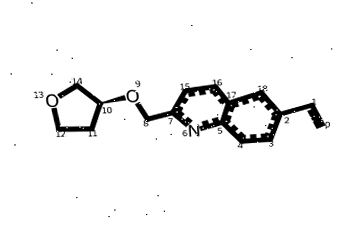 C=Cc1ccc2nc(CO[C@H]3CCOC3)ccc2c1